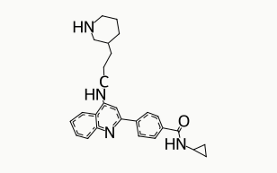 O=C(NC1CC1)c1ccc(-c2cc(NCCCC3CCCNC3)c3ccccc3n2)cc1